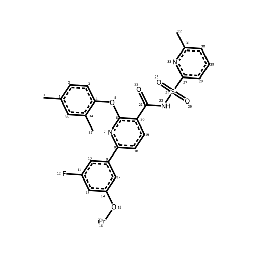 Cc1ccc(Oc2nc(-c3cc(F)cc(OC(C)C)c3)ccc2C(=O)NS(=O)(=O)c2cccc(C)n2)c(C)c1